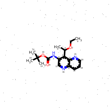 CCOC(C)c1c(NC(=O)OC(C)(C)C)cnc2cccnc12